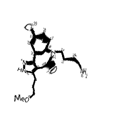 COCCCc1[nH]nc2c1c(=O)n(CCCN)c1ccc(Cl)cc21